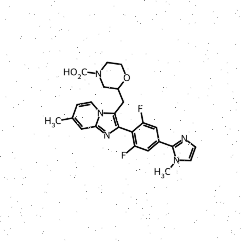 Cc1ccn2c(CC3CN(C(=O)O)CCO3)c(-c3c(F)cc(-c4nccn4C)cc3F)nc2c1